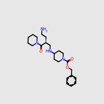 NCC[C@@H](CNC1CCN(C(=O)OCc2ccccc2)CC1)C(=O)N1CCCCC1